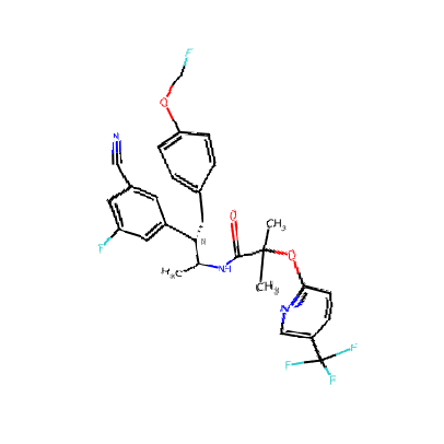 CC(NC(=O)C(C)(C)Oc1ccc(C(F)(F)F)cn1)[C@@H](Cc1ccc(OCF)cc1)c1cc(F)cc(C#N)c1